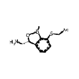 CB1O[C@@H](CN)c2cccc(SCC(C)=O)c21